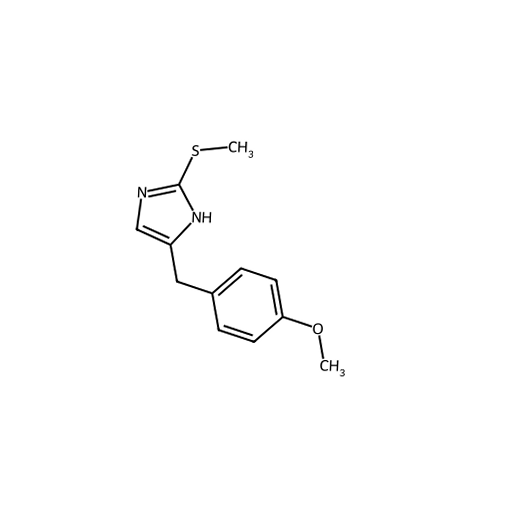 COc1ccc(Cc2cnc(SC)[nH]2)cc1